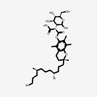 CCCC(=O)N(C(=O)Oc1c(C)c(C)c2c(c1C)CC[C@@](C)(CCC[C@H](CC)CCC[C@H](C)CCCC(C)C)O2)[C@H]1C(O)O[C@H](CO)[C@@H](O)[C@@H]1O